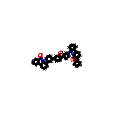 O=c1c2ccccc2c2cccc3c4cc(-c5ccc6c(c5)oc5cc(-n7c8ccccc8c8ccc9c%10ccccc%10oc9c87)ccc56)ccc4n1c23